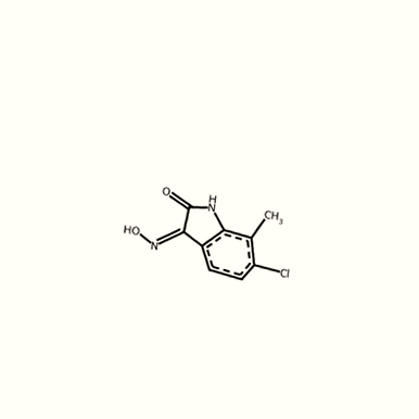 Cc1c(Cl)ccc2c1NC(=O)C2=NO